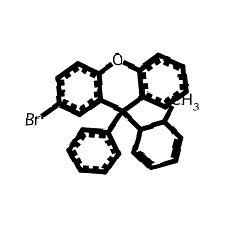 CC1C=CC=CC1C1(c2ccccc2)c2ccccc2Oc2ccc(Br)cc21